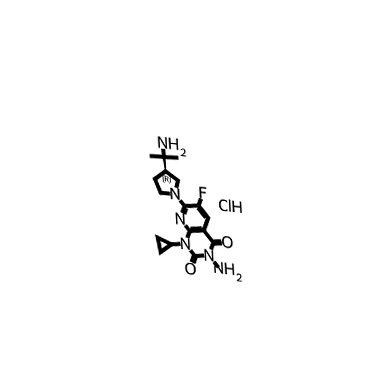 CC(C)(N)[C@@H]1CCN(c2nc3c(cc2F)c(=O)n(N)c(=O)n3C2CC2)C1.Cl